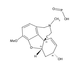 COc1ccc2c3c1O[C@H]1C[C@@H](O)C=C[C@@]31CCN(C)C2.O=PO